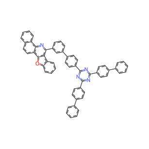 c1ccc(-c2ccc(-c3nc(-c4ccc(-c5ccccc5)cc4)nc(-c4ccc(-c5cccc(-c6nc7c8ccccc8ccc7c7oc8ccccc8c67)c5)cc4)n3)cc2)cc1